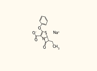 CCC1C(=O)N2C(C(=O)[O-])=C(Oc3ccccc3)SC12.[Na+]